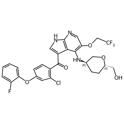 O=C(c1ccc(Oc2ccccc2F)cc1Cl)c1c[nH]c2ncc(OCC(F)(F)F)c(N[C@@H]3CC[C@@H](CO)OC3)c12